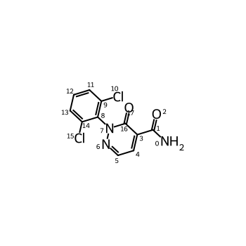 NC(=O)c1ccnn(-c2c(Cl)cccc2Cl)c1=O